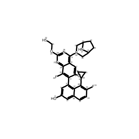 Oc1cc(-c2c(Cl)cc3c(N4CC5CCC(C4)N5)nc(OCS)nc3c2F)c2c(C3CC3)c(F)ccc2c1